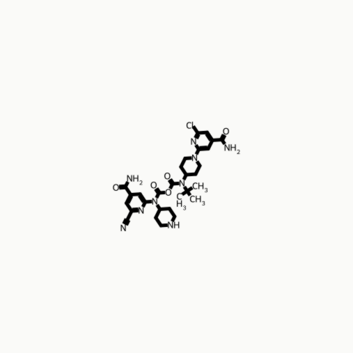 CC(C)(C)N(C(=O)OC(=O)N(c1cc(C(N)=O)cc(C#N)n1)C1CCNCC1)C1CCN(c2cc(C(N)=O)cc(Cl)n2)CC1